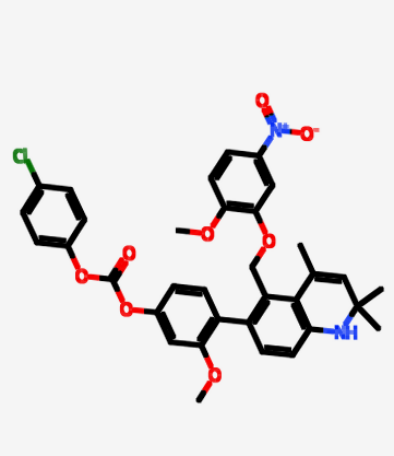 COc1ccc([N+](=O)[O-])cc1OCc1c(-c2ccc(OC(=O)Oc3ccc(Cl)cc3)cc2OC)ccc2c1C(C)=CC(C)(C)N2